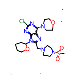 CS(=O)(=O)N1CCN(Cc2nc3c(N4CCOCC4)nc(Cl)nc3n2C2CCCCO2)CC1